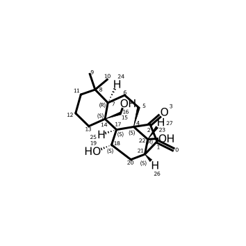 C=C1C(=O)[C@@]23CC[C@@H]4C(C)(C)CCC[C@@]4(CO)[C@@H]2[C@@H](O)C[C@@H]1[C@H]3O